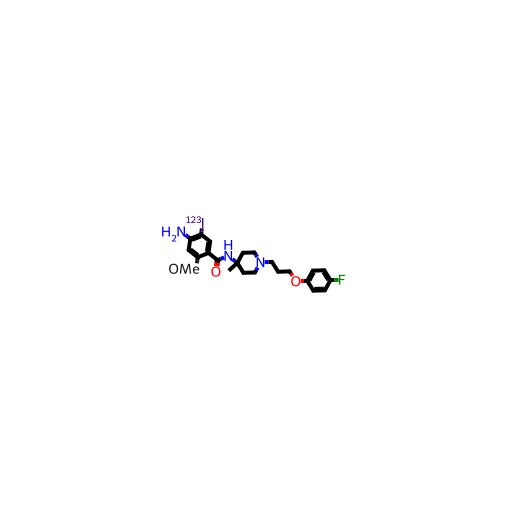 COc1cc(N)c([123I])cc1C(=O)NC1(C)CCN(CCCOc2ccc(F)cc2)CC1